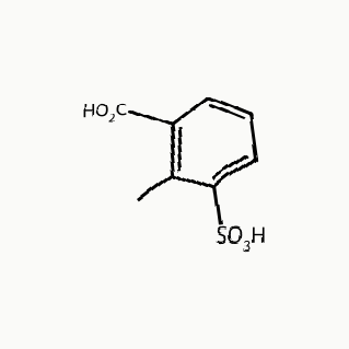 Cc1c(C(=O)O)cccc1S(=O)(=O)O